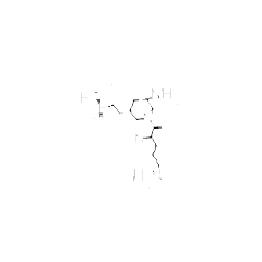 NCCCC(N)C(=O)N1C[C@@H](CCB(O)O)C[C@](N)(C(=O)O)C1